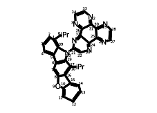 CC(C)c1cccc2c3cc4oc5ccccc5c4c(C(C)C)c3n(-c3cnc4c5nccnc5c5nccnc5c4n3)c12